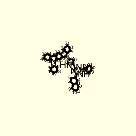 C1=C(C2N=C(c3ccc4ccccc4c3)NC(c3ccccc3)N2)NCC([C@@H]2c3ccccc3-c3cc4c5ccccc5n(-c5ccccc5)c4cc32)=C1